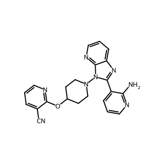 N#Cc1cccnc1OC1CCN(n2c(-c3cccnc3N)nc3cccnc32)CC1